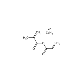 C=CC(=O)OC(=O)C(=C)C.[CaH2].[Zn]